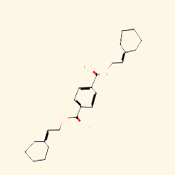 O=C(OCC=C1CCCCC1)c1ccc(C(=O)OCC=C2CCCCC2)cc1